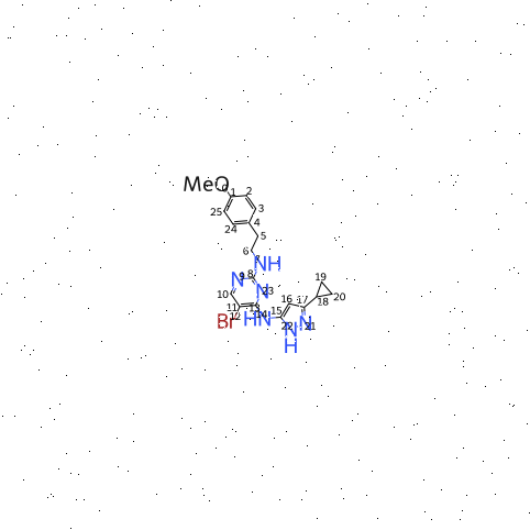 COc1ccc(CCNc2ncc(Br)c(Nc3cc(C4CC4)n[nH]3)n2)cc1